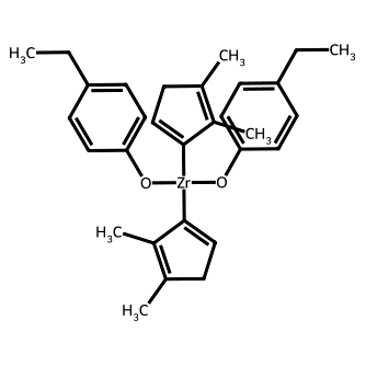 CCc1ccc([O][Zr]([O]c2ccc(CC)cc2)([C]2=CCC(C)=C2C)[C]2=CCC(C)=C2C)cc1